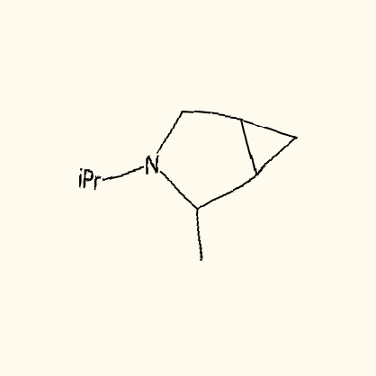 CC(C)N1CC2CC2C1C